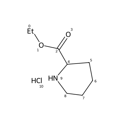 CCOC(=O)C1CCCCN1.Cl